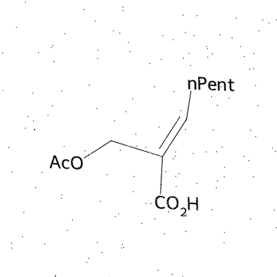 CCCCCC=C(COC(C)=O)C(=O)O